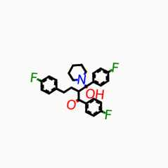 O=C(c1ccc(F)cc1)C(CCc1ccc(F)cc1)C(O)(c1ccc(F)cc1)N1CCCCC1